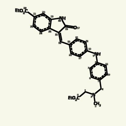 CCOC(=O)CN(C)Cc1ccc(Nc2ccc(C=C3C(=O)Nc4cc(C(=O)OCC)ccc43)cc2)cc1